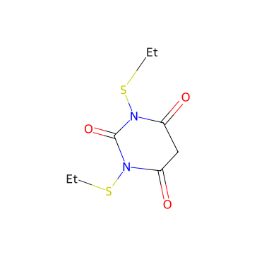 CCSN1C(=O)CC(=O)N(SCC)C1=O